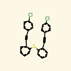 Clc1ccc(C#Cc2ccccc2Sc2ccccc2C#Cc2ccc(Cl)cc2)cc1